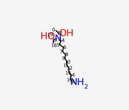 CC(O)N(CCCCCCCCCCCCN)C(C)O